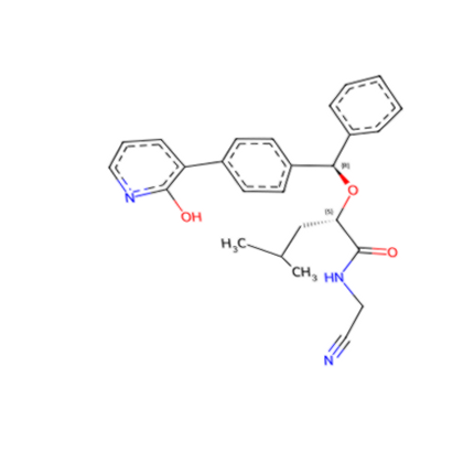 CC(C)C[C@H](O[C@H](c1ccccc1)c1ccc(-c2cccnc2O)cc1)C(=O)NCC#N